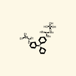 CCCCP(CCCC)CCCC.CCP(CC)CC.CCPCC.O=P(O)(O)O.c1ccc(P(c2ccccc2)c2ccccc2)cc1